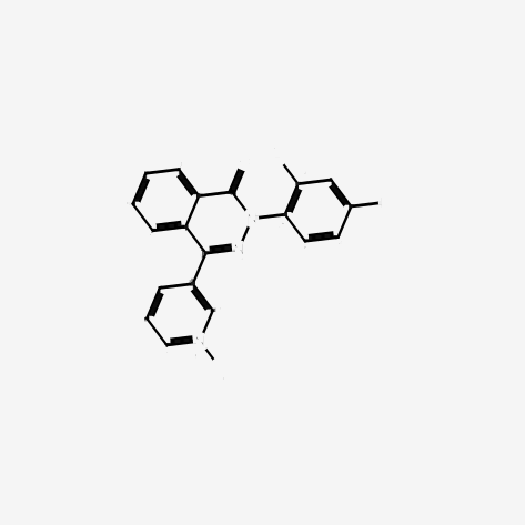 O=c1c2ccccc2c(-c2ccc[n+]([O-])c2)nn1-c1ccc(F)cc1F